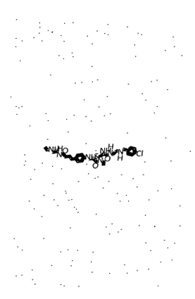 CCNCCNC(=O)CCCc1ccc(NC[C@H]2SC([C@H](N)C(=O)NCCNCc3ccc(Cl)cc3)N(CC)C2=O)cc1